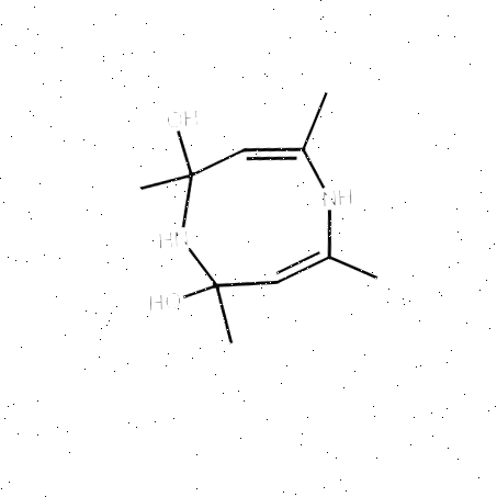 CC1=CC(C)(O)NC(C)(O)C=C(C)N1